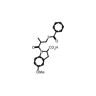 COc1ccc2c(c1)CC(C(=O)O)N2C(=O)C(C)CSC(=O)c1ccccc1